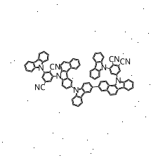 N#Cc1cc(-n2c3ccccc3c3ccccc32)c(C#N)c(-n2c3ccc(-n4c5ccccc5c5cc(-c6ccc7c(ccc8c9ccccc9n(-c9cc(C#N)c(C#N)c(-n%10c%11ccccc%11c%11ccccc%11%10)c9)c78)c6)ccc54)cc3c3c4ccccc4ccc32)c1